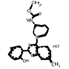 COC(=O)N[C@H]1CCCN(c2nc(-c3ccccc3O)nc3cc(C)ccc23)C1.Cl